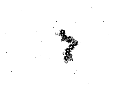 O=C1CCC(N2C(=O)c3ccc(N4CCC(N5CCO[C@@H](CN6CCN7c8cc(-c9ccccc9O)nnc8NC[C@H]7C6)C5)CC4)cc3C2=O)C(=O)N1